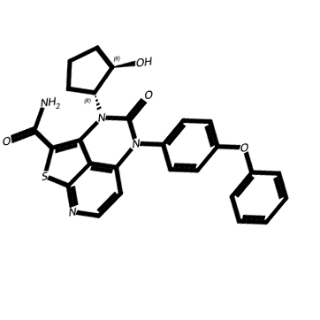 NC(=O)c1sc2nccc3c2c1N([C@@H]1CCC[C@H]1O)C(=O)N3c1ccc(Oc2ccccc2)cc1